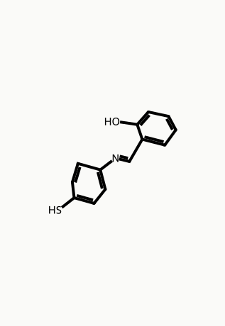 Oc1ccccc1C=Nc1ccc(S)cc1